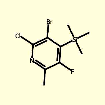 Cc1nc(Cl)c(Br)c([Si](C)(C)C)c1F